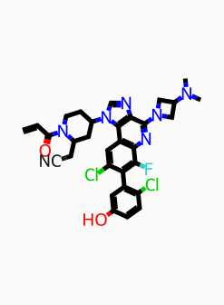 C=CC(=O)N1CCC(n2cnc3c(N4CC(N(C)C)C4)nc4c(F)c(-c5cc(O)ccc5Cl)c(Cl)cc4c32)CC1CC#N